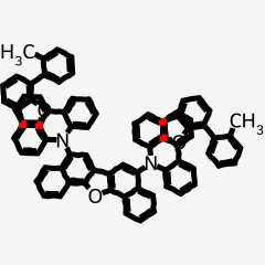 Cc1ccccc1-c1cccc2c1oc1c(N(c3ccccc3-c3ccccc3)c3cc4c5cc(N(c6ccccc6-c6ccccc6)c6cccc7c6oc6c(-c8ccccc8C)cccc67)c6ccccc6c5oc4c4ccccc34)cccc12